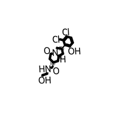 O=C(NCCO)[C@H]1CC(=O)N2C[C@@H](c3c(O)ccc(Cl)c3Cl)C[C@H]2C1